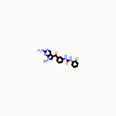 CC(C)n1cc(C(=O)c2cccc(NC(=O)Nc3ccccc3Cl)c2)c2cnc(N)nc21